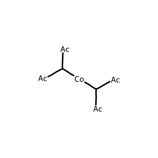 CC(=O)[CH]([Co][CH](C(C)=O)C(C)=O)C(C)=O